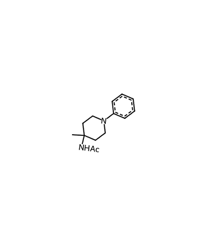 CC(=O)NC1(C)CCN(c2ccccc2)CC1